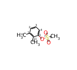 Cc1cccc(OS(C)(=O)=O)c1C